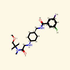 COCC(C)(C)N(C)C(=O)CN[C@H]1CC[C@@H](CNC(=O)c2cc(F)cc(I)c2)CC1